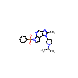 Cc1nc2cnc3c(ccn3S(=O)(=O)c3ccccc3)c2n1C1CCN(C(C)C)C1